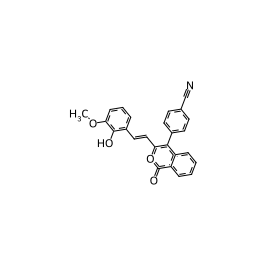 COc1cccc(C=Cc2oc(=O)c3ccccc3c2-c2ccc(C#N)cc2)c1O